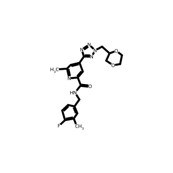 Cc1cc(-c2nnn(CC3COCCO3)n2)cc(C(=O)NCc2ccc(F)c(C)c2)n1